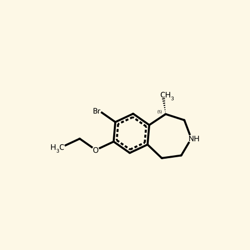 CCOc1cc2c(cc1Br)[C@H](C)CNCC2